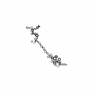 CNC(C)C(=O)NC(C(=O)N1CCCC1C(=O)Nc1sc(NC(=O)COCCOCCOCCOCCOCCN(C)C(=O)Cc2cccc(CNC(=O)c3cc(C=CC4CC5(CC5)C4)c(OC)cn3)c2)nc1-c1ccccc1)C1CCCCC1